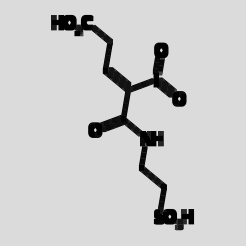 O=C(O)CC=C(C(=O)NCCS(=O)(=O)O)I(=O)=O